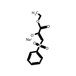 CCOC(=O)/C([O-])=C/S(=O)(=O)c1ccccc1.[Na+]